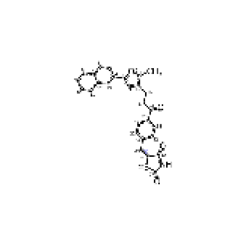 Cc1oc(-c2ccc3ccccc3c2)nc1CCC(=O)c1ccc(/C=C2/SC(=O)NC2=O)cc1